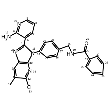 Cc1cc2nc(-c3cccnc3N)n(-c3ccc(CNC(=O)c4ccccc4)cc3)c2nc1Cl